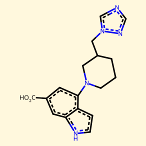 O=C(O)c1cc(N2CCCC(Cn3cncn3)C2)c2cc[nH]c2c1